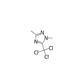 Cc1nc(C(Cl)(Cl)Cl)n(C)n1